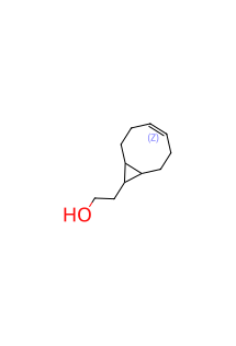 OCCC1C2CC/C=C\CCC12